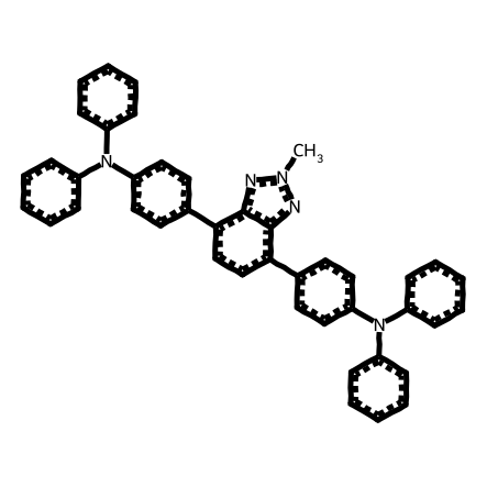 Cn1nc2c(-c3ccc(N(c4ccccc4)c4ccccc4)cc3)ccc(-c3ccc(N(c4ccccc4)c4ccccc4)cc3)c2n1